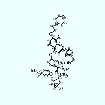 CC[C@@H]1C[C@]1(NC(=O)[C@@H]1C[C@@H](Oc2cc(-c3csc(SC(C)C)n3)nc3c(Cl)c(OCCN4CCOCC4)ccc23)CN1C(=O)[C@@H](NC(=O)O[C@@H]1C[C@@H]2C[C@@H]2C1)C(C)(C)C)C(=O)O